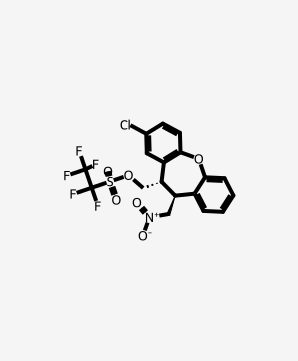 O=[N+]([O-])C[C@@H]1c2ccccc2Oc2ccc(Cl)cc2[C@H]1COS(=O)(=O)C(F)(F)C(F)(F)F